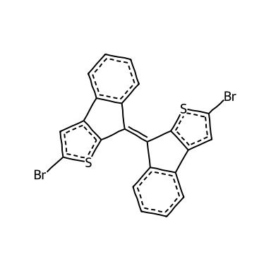 Brc1cc2c(s1)C(=C1c3ccccc3-c3cc(Br)sc31)c1ccccc1-2